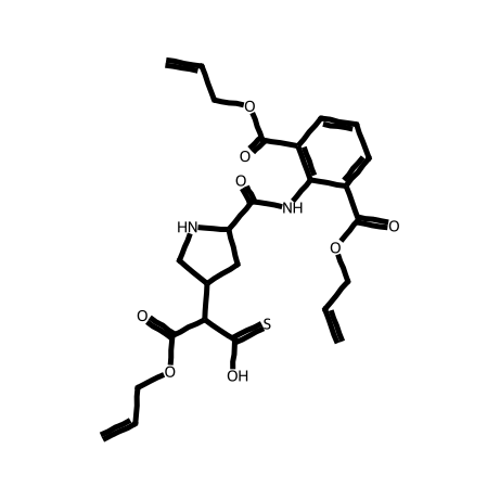 C=CCOC(=O)c1cccc(C(=O)OCC=C)c1NC(=O)C1CC(C(C(=O)OCC=C)C(O)=S)CN1